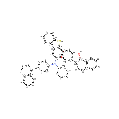 c1ccc(N(c2ccc(-c3cccc4ccccc34)cc2)c2ccc3sc4ccccc4c3c2)c(-c2cccc3oc4c5ccccc5ccc4c23)c1